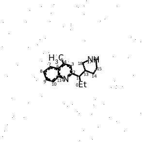 CCC(c1cc(C)c2ccccc2n1)C1CCCNC1